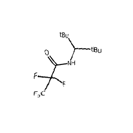 CC(C)(C)C(NC(=O)C(F)(F)C(F)(F)F)C(C)(C)C